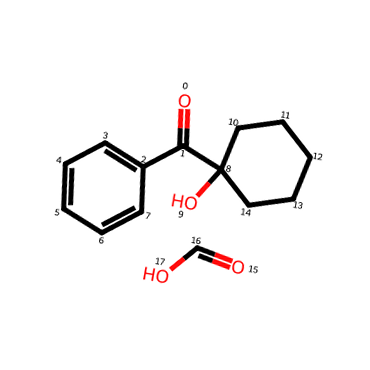 O=C(c1ccccc1)C1(O)CCCCC1.O=CO